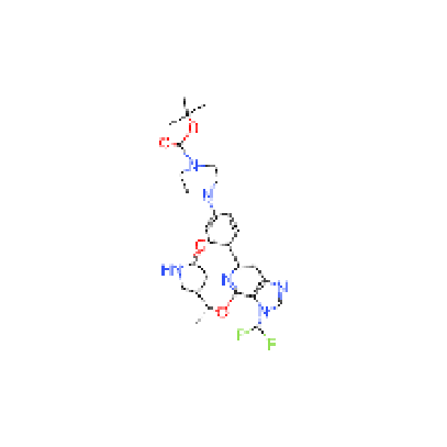 C[C@@H](Oc1nc(-c2ccc(N3CCN(C(=O)OC(C)(C)C)CC3)cc2)cc2ncn(C(F)F)c12)[C@H]1CNC(=O)C1